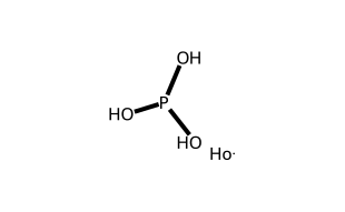 OP(O)O.[Ho]